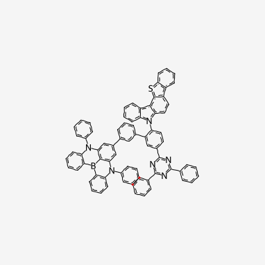 c1ccc(-c2nc(-c3ccccc3)nc(-c3ccc(-n4c5ccccc5c5c6sc7ccccc7c6ccc54)c(-c4cccc(-c5cc6c7c(c5)N(c5ccccc5)c5ccccc5B7c5ccccc5N6c5ccccc5)c4)c3)n2)cc1